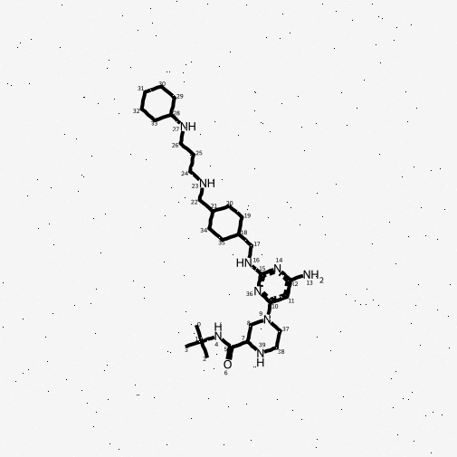 CC(C)(C)NC(=O)C1CN(c2cc(N)nc(NCC3CCC(CNCCCNC4CCCCC4)CC3)n2)CCN1